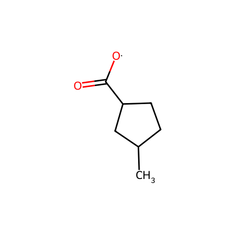 CC1CCC(C([O])=O)C1